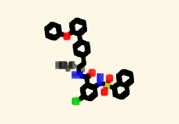 O=C(N[C@@H](Cc1ccc(-c2ccccc2Oc2ccccc2)cc1)C(=O)O)c1cc(Cl)ccc1NS(=O)(=O)c1cccc2ccccc12